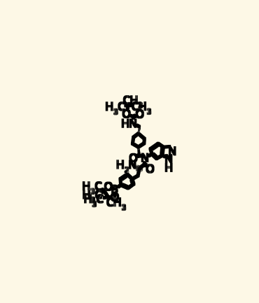 CC(C)(C)OC(=O)NC[C@H]1CC[C@H](C(=O)N(C(=O)[C@@H](N)Cc2ccc(B3OC(C)(C)C(C)(C)O3)cc2)c2ccc3cn[nH]c3c2)CC1